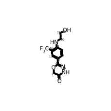 O=C1COC(c2ccc(NCCO)c(C(F)(F)F)c2)=NN1